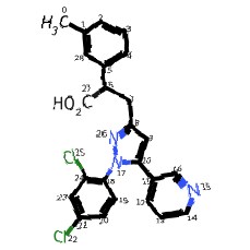 Cc1cccc(C(Cc2cc(-c3cccnc3)n(-c3ccc(Cl)cc3Cl)n2)C(=O)O)c1